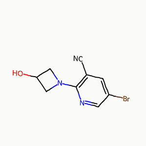 N#Cc1cc(Br)cnc1N1CC(O)C1